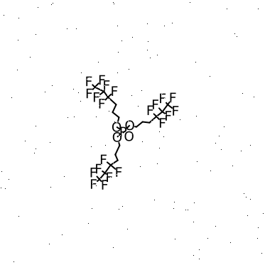 O=P(OCCCC(F)(F)C(F)(F)C(F)(F)F)(OCCCC(F)(F)C(F)(F)C(F)(F)F)OCCCC(F)(F)C(F)(F)C(F)(F)F